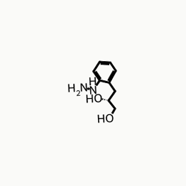 NNc1ccccc1C[C@@H](O)CO